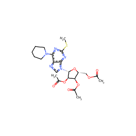 CSc1nc(N2CCCCC2)c2ncn([C@@H]3O[C@H](COC(C)=O)[C@@H](OC(C)=O)[C@H]3OC(C)=O)c2n1